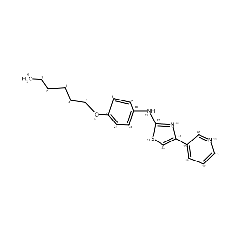 CCCCCCOc1ccc(Nc2nc(-c3cccnc3)cs2)cc1